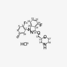 Cl.Fc1ccc(F)c(-n2nc(OC[C@@H]3CNCCO3)c3c(F)cccc32)c1